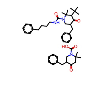 CC(C)(C)C1C(=O)C(Cc2ccccc2)CN(C(=O)NCCCCc2ccccc2)C1(C)C.CC1(C)CC(=O)C(Cc2ccccc2)CN1C(=O)O